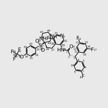 O=C(C[C@@H](c1ccc(F)cc1)c1cc(F)cc(F)c1)Nc1cncc(F)c1CC[C@]1(S(=O)(=O)c2ccc(OC(F)(F)F)cc2)CNCCN1